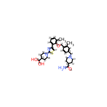 Cc1cc(CN2CCC(C(N)=O)CC2)ccc1COc1c(C)cccc1-c1csc(N2CCC(C(O)O)CC2)n1